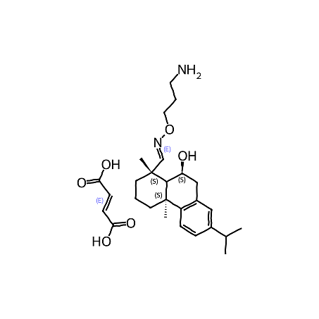 CC(C)c1ccc2c(c1)C[C@H](O)C1[C@@](C)(/C=N/OCCCN)CCC[C@]21C.O=C(O)/C=C/C(=O)O